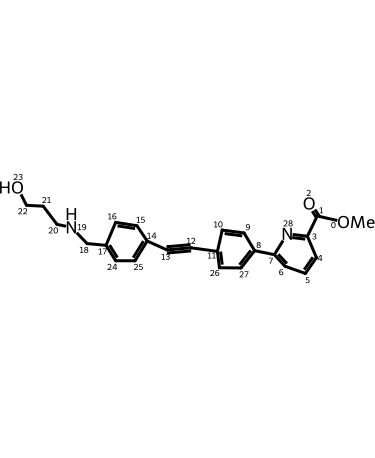 COC(=O)c1cccc(-c2ccc(C#Cc3ccc(CNCCCO)cc3)cc2)n1